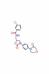 O=C(NCC1CN(c2ccc(N3CCOCC3=O)cc2)C(=O)O1)c1cccc(Cl)c1